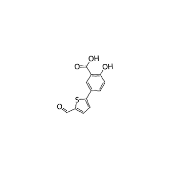 O=Cc1ccc(-c2ccc(O)c(C(=O)O)c2)s1